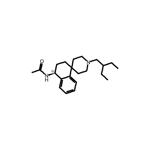 CCC(CC)CN1CCC2(CC[C@H](NC(C)=O)c3ccccc32)CC1